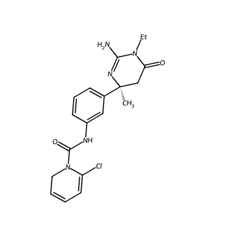 CCN1C(=O)C[C@@](C)(c2cccc(NC(=O)N3CC=CC=C3Cl)c2)N=C1N